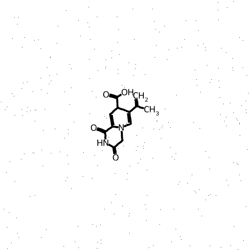 C=C(C)C1=CN2CC(=O)NC(=O)C2=CC1C(=O)O